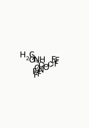 C=CC(=O)NCc1ccc(Oc2ccc(C(F)(F)F)cc2)c2nc(C(F)(F)F)oc12